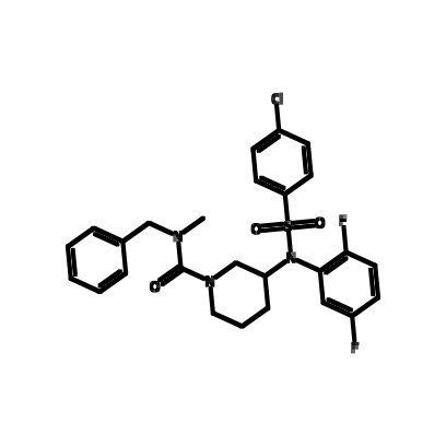 CN(Cc1ccccc1)C(=O)N1CCCC(N(c2cc(F)ccc2F)S(=O)(=O)c2ccc(Cl)cc2)C1